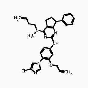 C=CCCN(C)c1nc(Nc2ccc(-n3cnc(Cl)c3)c(OCC=C)c2)nc2c1CCC2c1ccccc1